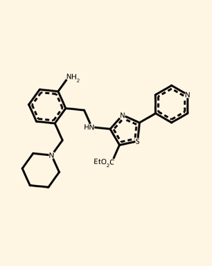 CCOC(=O)c1sc(-c2ccncc2)nc1NCc1c(N)cccc1CN1CCCCC1